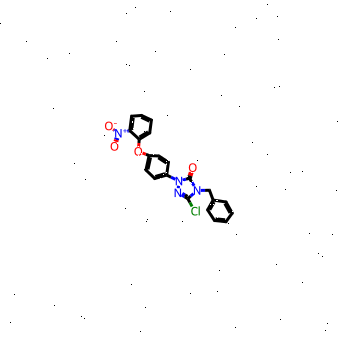 O=c1n(-c2ccc(Oc3ccccc3[N+](=O)[O-])cc2)nc(Cl)n1Cc1ccccc1